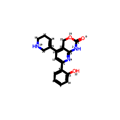 O=C1Nc2nc(-c3ccccc3O)cc(C3=CCCNC3)c2CO1